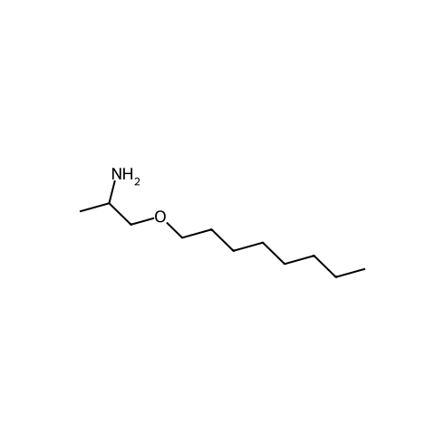 CCCCCCCCOCC(C)N